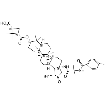 Cc1ccc(C(=O)NC(C)(C)C(=O)N[C@@]23CC[C@]4(C)[C@H](CC[C@@H]5[C@@]6(C)CC[C@H](OC(=O)[C@H]7C[C@@H](C(=O)O)C7(C)C)C(C)(C)[C@@H]6CC[C@]54C)C2=C(C(C)C)C(=O)C3)cc1